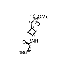 COS(=O)(=O)C[C@H]1C[C@H](NC(=O)OC(C)(C)C)C1